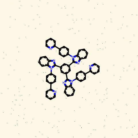 c1ccc(-c2ccc(-n3c(-c4cc(-c5nc6ccccc6n5-c5ccc(-c6ccccn6)cc5)cc(-c5nc6ccccc6n5-c5ccc(-c6ccccn6)cc5)c4)nc4ccccc43)cc2)nc1